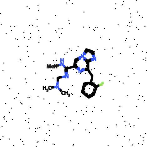 CNN/C(=N\CN(C)C)c1cn2ccnc2c(Cc2ccccc2F)n1